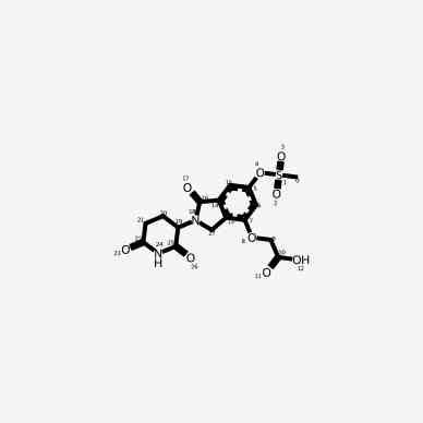 CS(=O)(=O)Oc1cc(OCC(=O)O)c2c(c1)C(=O)N(C1CCC(=O)NC1=O)C2